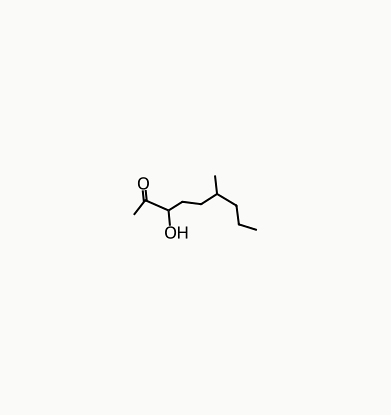 CCCC(C)CCC(O)C(C)=O